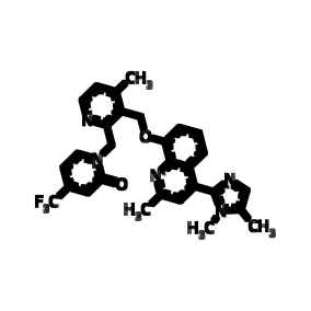 Cc1cc(-c2ncc(C)n2C)c2cccc(OCc3c(C)ccnc3Cn3ccc(C(F)(F)F)cc3=O)c2n1